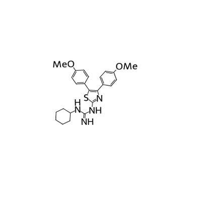 COc1ccc(-c2nc(NC(=N)NC3CCCCC3)sc2-c2ccc(OC)cc2)cc1